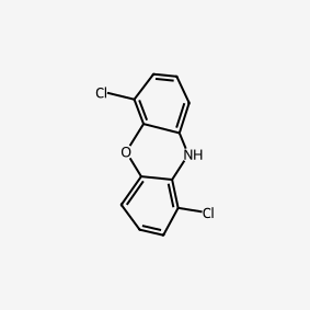 Clc1cccc2c1Nc1cccc(Cl)c1O2